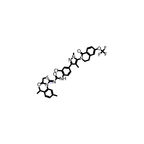 Cc1ccc(C(C)C)c(N2C(=O)CS/C2=N\C(=O)Nc2ccc(-c3nn(C)c(N4CCc5cc(OC(F)(F)F)ccc5C4=O)c3C)cc2Cl)c1